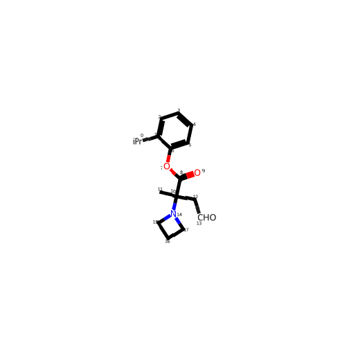 CC(C)c1ccccc1OC(=O)C(C)(CC=O)N1CCC1